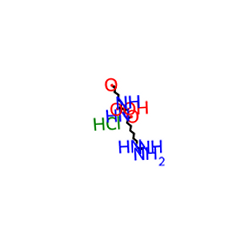 Cl.N=C(N)NCCCCCCC(=O)NC(O)C(=O)NCCCC=O